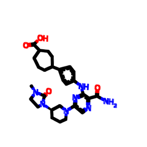 CN1CCN([C@@H]2CCCN(c3cnc(C(N)=O)c(Nc4ccc(C5CCCC(C(=O)O)CC5)cc4)n3)C2)C1=O